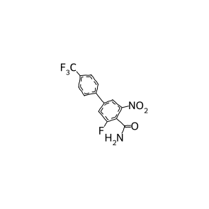 NC(=O)c1c(F)cc(-c2ccc(C(F)(F)F)cc2)cc1[N+](=O)[O-]